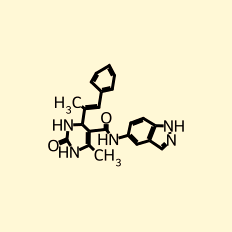 CC(=Cc1ccccc1)C1NC(=O)NC(C)=C1C(=O)Nc1ccc2[nH]ncc2c1